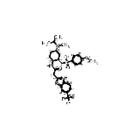 CSc1ccc(S(=O)(=O)C[C@@H]2C[C@H](N(C)C(C)C)CCC2NC(=O)Cc2nc3cc(C(F)(F)F)ccc3[nH]2)cc1